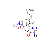 C=C/C(=C(C)\C=C/COC)[C@]12CC3CN(CC)[C@H]3[C@]1(O)CC[C@@]1(C2)NC(=O)N(CC)C1=O